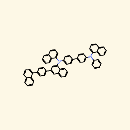 c1ccc(N(c2ccc(-c3ccc(N(c4cccc5ccccc45)c4cc(-c5ccc(-c6cccc7ccccc67)cc5)cc5ccccc45)cc3)cc2)c2cccc3ccccc23)cc1